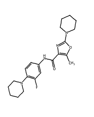 Cc1oc(N2CCCCC2)nc1C(=O)Nc1ccc(N2CCCCC2)c(F)c1